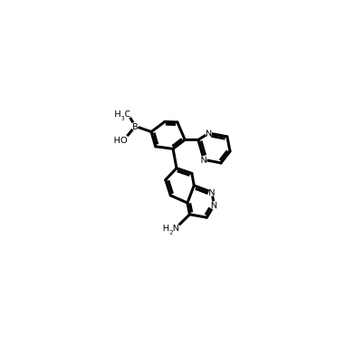 CB(O)c1ccc(-c2ncccn2)c(-c2ccc3c(N)cnnc3c2)c1